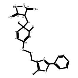 Cc1oc(-c2ccccc2)nc1CCOC1=CC(C)C(C)(CC2C(=O)NOC2=O)C=C1